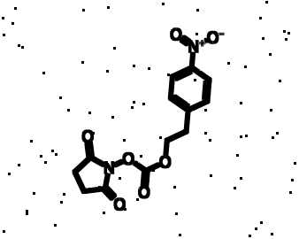 O=C(OCCc1ccc([N+](=O)[O-])cc1)ON1C(=O)CCC1=O